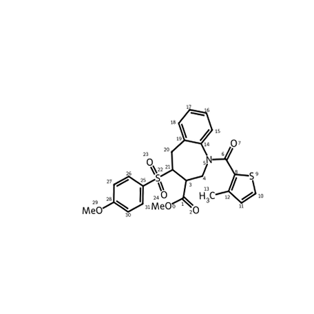 COC(=O)C1CN(C(=O)c2sccc2C)c2ccccc2CC1S(=O)(=O)c1ccc(OC)cc1